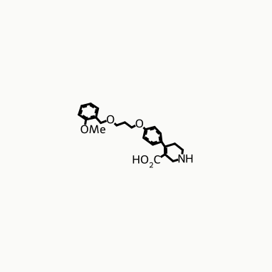 COc1ccccc1COCCCOc1ccc(C2=C(C(=O)O)CNCC2)cc1